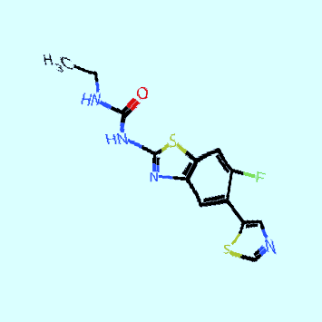 CCNC(=O)Nc1nc2cc(-c3cncs3)c(F)cc2s1